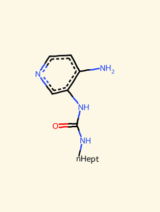 CCCCCCCNC(=O)Nc1cnccc1N